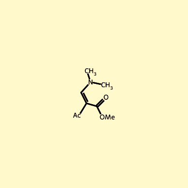 COC(=O)/C(=C\N(C)C)C(C)=O